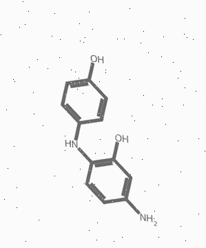 Nc1c[c]c(Nc2ccc(O)cc2)c(O)c1